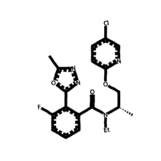 CCN(C(=O)c1cccc(F)c1-c1nnc(C)o1)[C@@H](C)COc1ccc(Cl)cn1